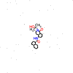 CC(C)(O)Cn1ccc2c(NC(=O)c3cccc4ccccc34)cccc2c1=O